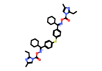 CCc1nc(C)cn1C(=O)O/N=C(/c1ccc(Sc2ccc(/C(=N/OC(=O)n3cc(C)nc3CC)C3CCCCC3)cc2)cc1)C1CCCCC1